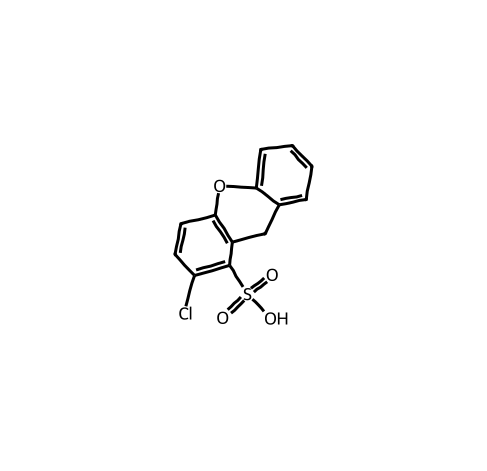 O=S(=O)(O)c1c(Cl)ccc2c1Cc1ccccc1O2